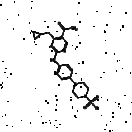 CCS(=O)(=O)N1CCN(c2ccc(Nc3ncc(C(N)=O)c(CC4CC4)n3)cc2)CC1